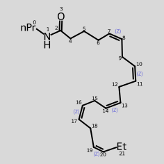 [CH2]CCNC(=O)CCC/C=C\C/C=C\C/C=C\C/C=C\C/C=C\CC